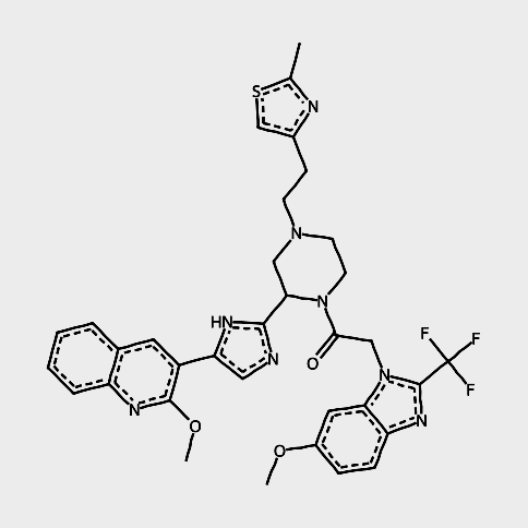 COc1ccc2nc(C(F)(F)F)n(CC(=O)N3CCN(CCc4csc(C)n4)CC3c3ncc(-c4cc5ccccc5nc4OC)[nH]3)c2c1